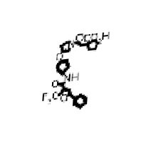 O=C(Nc1ccc(O[C@H]2CCN(C(=O)CC3(C(=O)O)CCCC3)C2)cc1)c1cc(-c2ccccc2)oc1C(F)(F)F